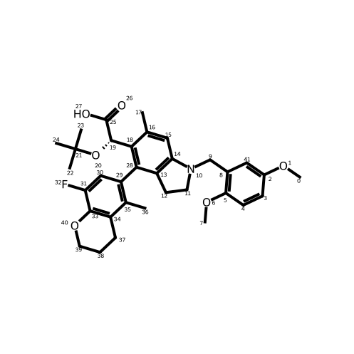 COc1ccc(OC)c(CN2CCc3c2cc(C)c([C@H](OC(C)(C)C)C(=O)O)c3-c2cc(F)c3c(c2C)CCCO3)c1